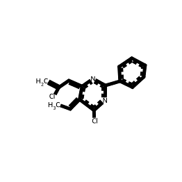 C=C(Cl)/C=c1/nc(-c2ccccc2)nc(Cl)/c1=C/C